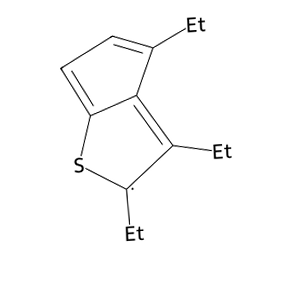 CC[C]1SC2=CC=C(CC)C2=C1CC